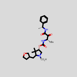 CCCC[C@H](NC(=O)O[C@@H]1CN(C(=O)O)C(CC2CCOC2)C1(C)C)C(=O)C(=O)N[C@H](C)c1ccccc1